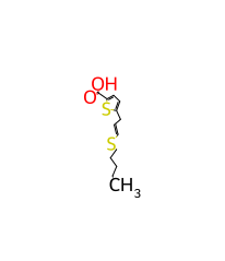 CCCCCSC=CCc1ccc(C(=O)O)s1